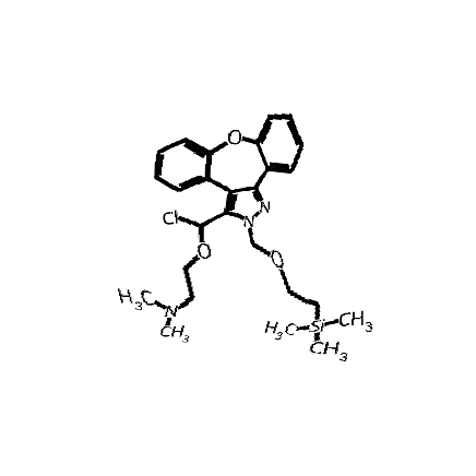 CN(C)CCOC(Cl)c1c2c(nn1COCC[Si](C)(C)C)-c1ccccc1Oc1ccccc1-2